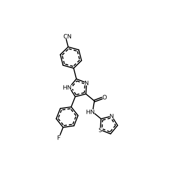 N#Cc1ccc(-c2nc(C(=O)Nc3nccs3)c(-c3ccc(F)cc3)[nH]2)cc1